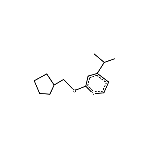 CC(C)c1ccnc(OCC2CCCC2)c1